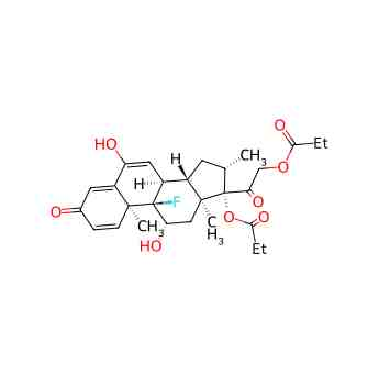 CCC(=O)OCC(=O)[C@]1(OC(=O)CC)[C@@H](C)C[C@H]2[C@@H]3C=C(O)C4=CC(=O)C=C[C@]4(C)[C@@]3(F)[C@@H](O)C[C@@]21C